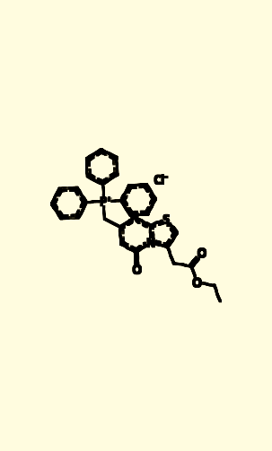 CCOC(=O)Cc1csc2nc(C[P+](c3ccccc3)(c3ccccc3)c3ccccc3)cc(=O)n12.[Cl-]